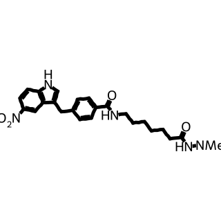 CNNC(=O)CCCCCCNC(=O)c1ccc(Cc2c[nH]c3ccc([N+](=O)[O-])cc23)cc1